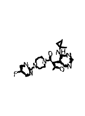 Cc1oc2ncnc(NC3(C)CC3)c2c1C(=O)N1CCN(c2ncc(F)cn2)CC1